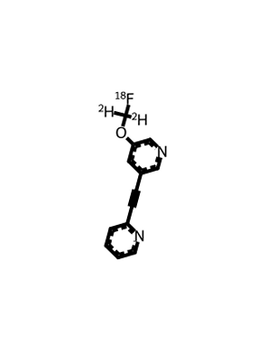 [2H]C([2H])([18F])Oc1cncc(C#Cc2ccccn2)c1